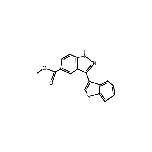 COC(=O)c1ccc2[nH]nc(-c3csc4ccccc34)c2c1